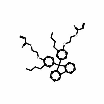 C=CC(=O)OCCOc1ccc(C2(c3ccc(OCCOC(=O)C=C)c(CCCC)c3)c3ccccc3-c3ccccc32)cc1CCCC